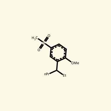 CCCC(CC)c1cc(S(C)(=O)=O)ccc1OC